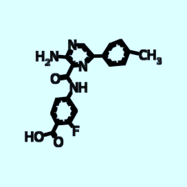 Cc1ccc(-c2cnc(N)c(C(=O)Nc3ccc(C(=O)O)c(F)c3)n2)cc1